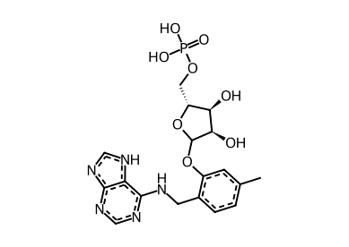 Cc1ccc(CNc2ncnc3nc[nH]c23)c(OC2O[C@H](COP(=O)(O)O)[C@@H](O)[C@H]2O)c1